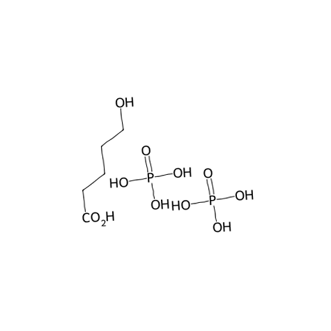 O=C(O)CCCCO.O=P(O)(O)O.O=P(O)(O)O